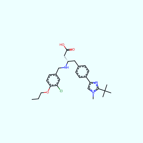 CCCOc1ccc(CN[C@H](CC(=O)O)Cc2ccc(-c3cn(C)c(C(C)(C)C)n3)cc2)cc1Cl